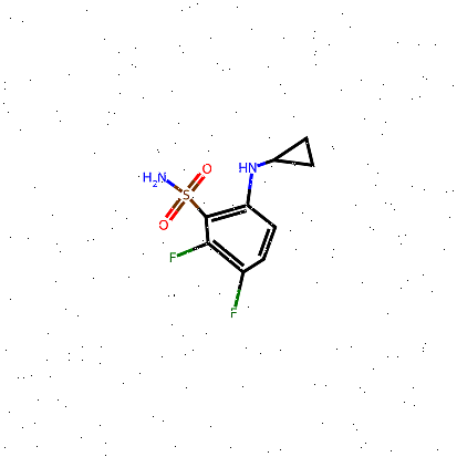 NS(=O)(=O)c1c(NC2CC2)ccc(F)c1F